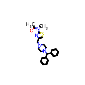 CC(=O)N(C)c1nc(CN2CCN(C(c3ccccc3)c3ccccc3)CC2)cs1